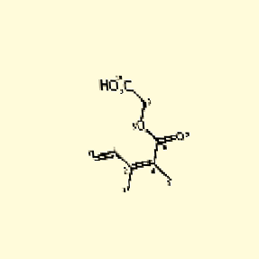 C=CC(C)=C(C)C(=O)OCC(=O)O